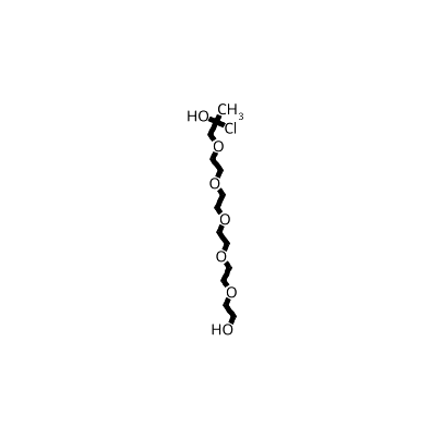 CC(O)(Cl)COCCOCCOCCOCCOCCO